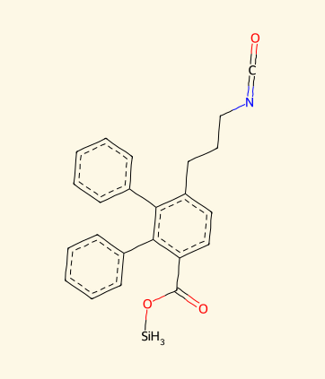 O=C=NCCCc1ccc(C(=O)O[SiH3])c(-c2ccccc2)c1-c1ccccc1